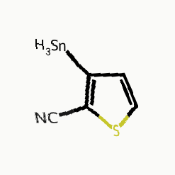 N#Cc1scc[c]1[SnH3]